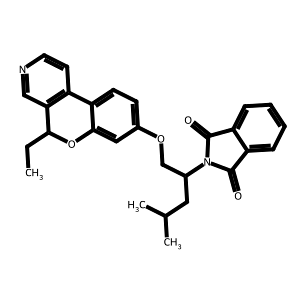 CCC1Oc2cc(OCC(CC(C)C)N3C(=O)c4ccccc4C3=O)ccc2-c2ccncc21